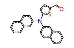 O=Cc1ccc(N(c2ccc3ccccc3c2)c2ccc3ccccc3c2)s1